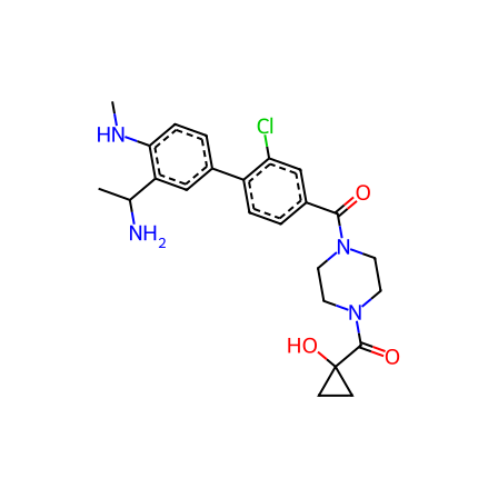 CNc1ccc(-c2ccc(C(=O)N3CCN(C(=O)C4(O)CC4)CC3)cc2Cl)cc1C(C)N